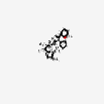 CO[C@H]1CCC[C@@H](OC)[C@@H]1n1c(NS(=O)(=O)[C@@H](C)[C@H](C)c2ncc(C)cn2)nnc1-c1ccccc1